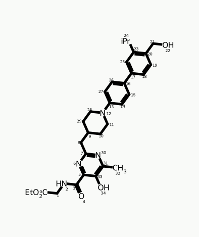 CCOC(=O)CNC(=O)c1nc(CC2CCN(c3ccc(-c4ccc(CO)c(C(C)C)c4)cc3)CC2)nc(C)c1O